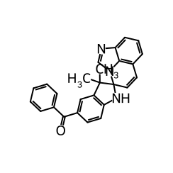 CC1(C)c2cc(C(=O)c3ccccc3)ccc2NC12C=Cc1cccc3ncn2c13